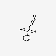 O=COCC[C@H](O)[C@@H](O)c1ccccc1